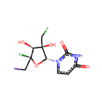 O=c1ccn([C@@H]2O[C@](F)(CI)[C@@H](O)[C@]2(O)CF)c(=O)[nH]1